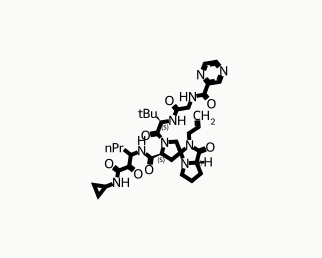 C=CCN1C(=O)[C@@H]2CCCN2C12C[C@@H](C(=O)NC(CCC)C(=O)C(=O)NC1CC1)N(C(=O)[C@@H](NC(=O)CNC(=O)c1cnccn1)C(C)(C)C)C2